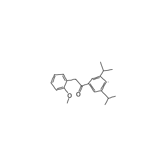 COc1ccccc1CC(=O)c1cc(C(C)C)[c]c(C(C)C)c1